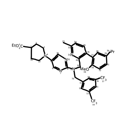 CCOC(=O)C1CCN(c2cnc(N(Cc3cc(C(F)(F)F)cc(C(F)(F)F)c3)Cc3nc(C)ccc3-c3cc(C(C)C)ccc3OC)nc2)CC1